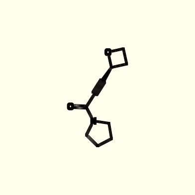 O=C(C#C[C@@H]1CCO1)N1CCCC1